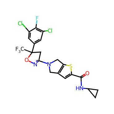 O=C(NC1CC1)c1cc2c(s1)CN(C1=NOC(c3cc(Cl)c(F)c(Cl)c3)(C(F)(F)F)C1)C2